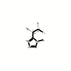 C[C@H](F)[C@@H](F)c1nncn1C